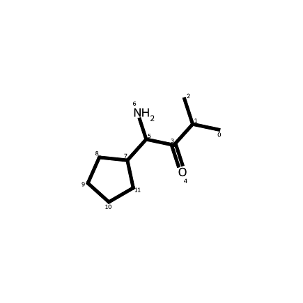 CC(C)C(=O)C(N)C1CCCC1